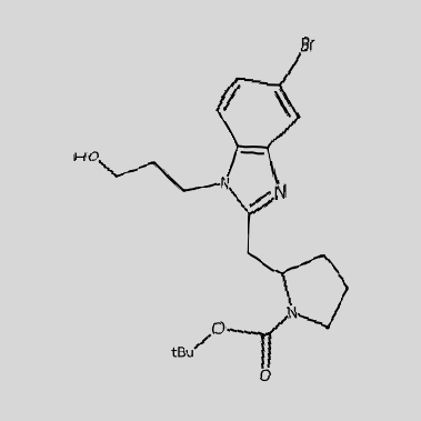 CC(C)(C)OC(=O)N1CCCC1Cc1nc2cc(Br)ccc2n1CCCO